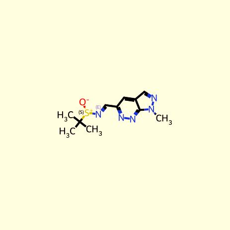 Cn1ncc2cc(/C=N/[S@+]([O-])C(C)(C)C)nnc21